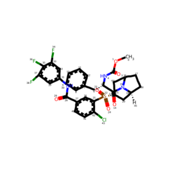 COC(=O)N[C@@H](Cc1ccccc1)C(=O)N1C2CC[C@H]1C[C@H](S(=O)(=O)c1cc(C(=O)Nc3cc(F)c(F)c(F)c3)ccc1Cl)C2